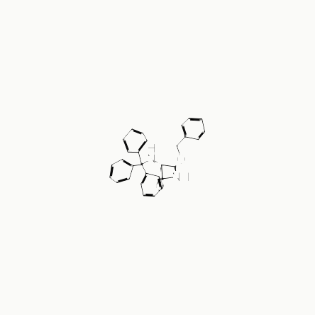 O=C1N[C@@H](OCc2ccccc2)[C@@H]1NC(c1ccccc1)(c1ccccc1)c1ccccc1